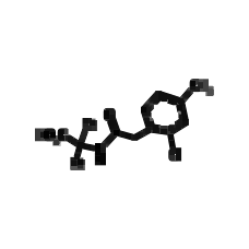 CCC(CC)(NC(=O)Cc1ccc(C)cc1Cl)C(=O)O